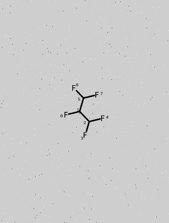 F[C](C(F)F)C(F)F